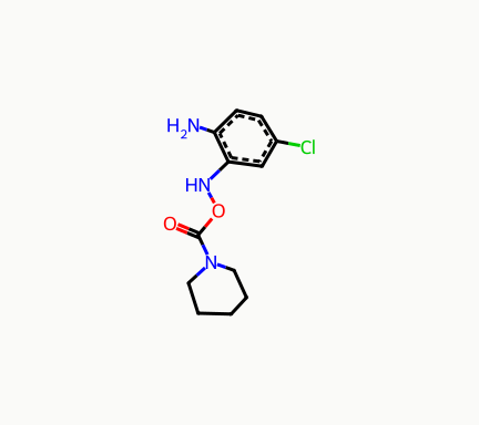 Nc1ccc(Cl)cc1NOC(=O)N1CCCCC1